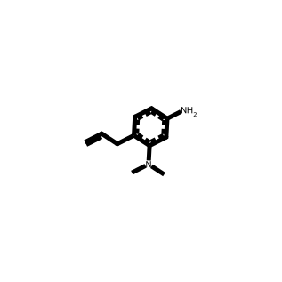 C=CCc1ccc(N)cc1N(C)C